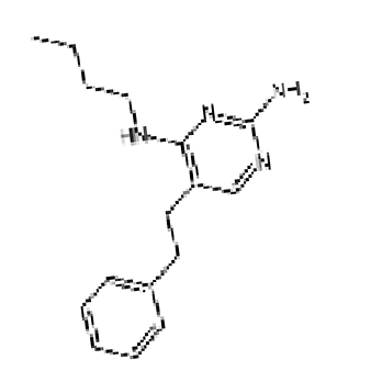 CCCCNc1nc(N)ncc1CCc1ccccc1